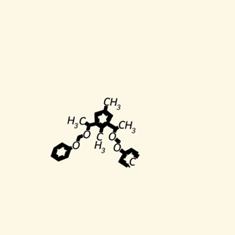 Cc1cc(C(C)OCOc2ccccc2)c(C)c(C(C)OCOc2ccccc2)c1